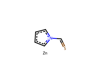 S=Cn1cccc1.[Zn]